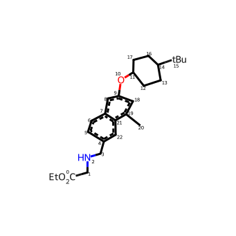 CCOC(=O)CNCc1ccc2cc(OC3CCC(C(C)(C)C)CC3)cc(C)c2c1